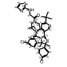 CCOc1cc(C(C)(C)C)ncc1C1=NC(C)(c2ccc(Cl)cc2)C(C)(c2ccc(Cl)cc2)N1C(=O)N1CCN(C(=O)CNc2nccs2)CC1